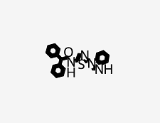 O=C(Nc1cnc(-[n+]2c[nH]c3ccccc32)s1)C(c1ccccc1)c1ccccc1